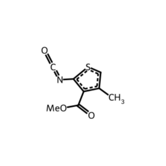 COC(=O)c1c(C)csc1N=C=O